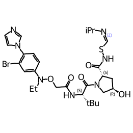 CCN(OCC(=O)N[C@H](C(=O)N1C[C@H](O)C[C@H]1C(=O)NS/C=N\C(C)C)C(C)(C)C)c1ccc(-n2ccnc2)c(Br)c1